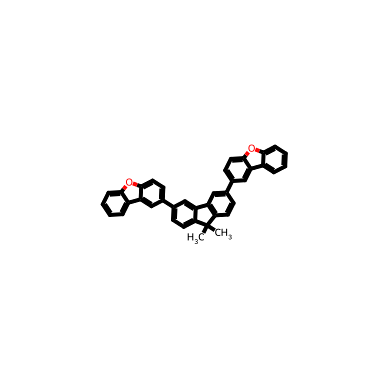 CC1(C)c2ccc(-c3ccc4oc5ccccc5c4c3)cc2-c2cc(-c3ccc4oc5ccccc5c4c3)ccc21